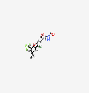 O=CNCCC(C=O)CCc1oc2c(C(F)(F)F)cc(C3CC3)cc2c1Cl